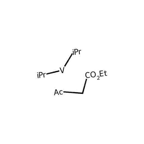 CCOC(=O)CC(C)=O.C[CH](C)[V][CH](C)C